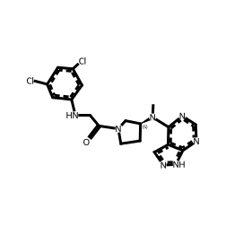 CN(c1ncnc2[nH]ncc12)[C@H]1CCN(C(=O)CNc2cc(Cl)cc(Cl)c2)C1